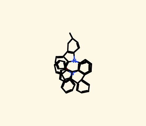 CC1C=Cc2c(c3ccccc3n2C2=CC=CCC2c2ccccc2-c2ccccc2-c2ccccc2-n2c3ccccc3c3ccccc32)C1